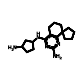 Nc1nc(NC2CCC(N)C2)c2c(n1)C1(CCCC1)CCC2